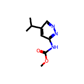 COC(=O)Nc1cc(C(C)C)cnn1